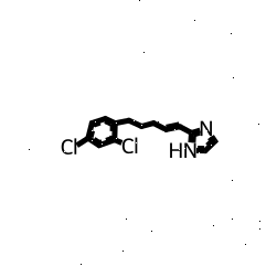 Clc1ccc(CCCC=Cc2ncc[nH]2)c(Cl)c1